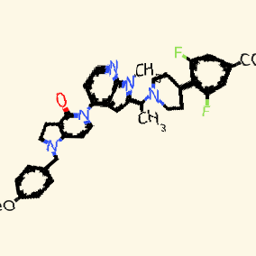 COc1ccc(CN2CCc3c2ccn(-c2ccnc4c2cc(C(C)N2CCC(c5c(F)cc(C(=O)O)cc5F)CC2)n4C)c3=O)cc1